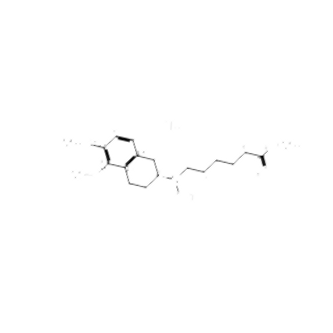 CCCN(CCCCCC(=O)OC)[C@H]1CCc2c(ccc(OC)c2OC)C1.Cl